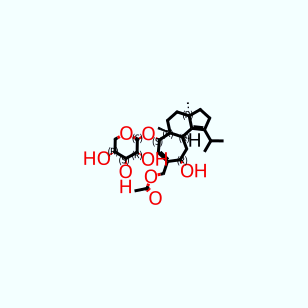 CC(=O)OCC1=C[C@H](O[C@@H]2OC[C@@H](O)[C@H](O)[C@H]2O)[C@]2(C)CC[C@@]3(C)CCC(C(C)C)=C3[C@H]2C[C@H]1O